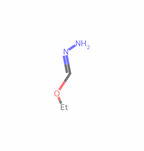 CCOC=NN